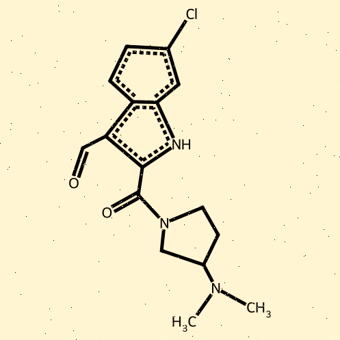 CN(C)C1CCN(C(=O)c2[nH]c3cc(Cl)ccc3c2C=O)C1